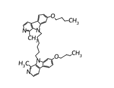 CCCCOc1ccc2c3ccnc(C)c3n(CCCCCCn3c4cc(OCCCC)ccc4c4ccnc(C)c43)c2c1